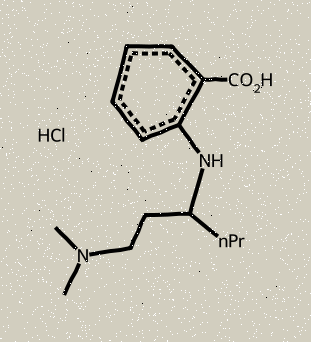 CCCC(CCN(C)C)Nc1ccccc1C(=O)O.Cl